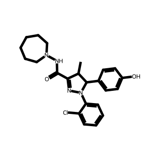 CC1C(C(=O)NN2CCCCCC2)=NN(c2ccccc2Cl)C1c1ccc(O)cc1